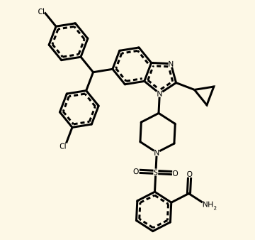 NC(=O)c1ccccc1S(=O)(=O)N1CCC(n2c(C3CC3)nc3ccc(C(c4ccc(Cl)cc4)c4ccc(Cl)cc4)cc32)CC1